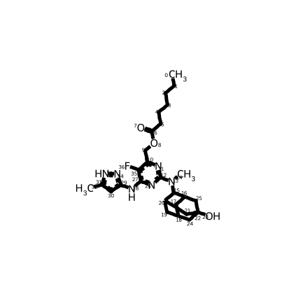 CCCCCCC(=O)OCc1nc(N(C)C2C3CC4CC2CC(O)(C4)C3)nc(Nc2cc(C)[nH]n2)c1F